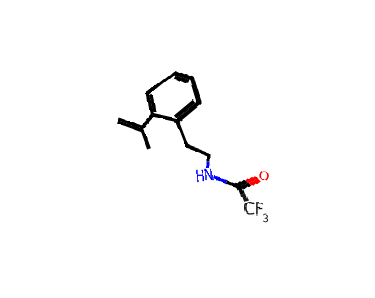 C=C(C)c1ccccc1CCNC(=O)C(F)(F)F